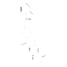 NC(=O)c1cn2c(cc1=O)C(=O)N1CC(Cc3nnc4ccccn34)OC1C2